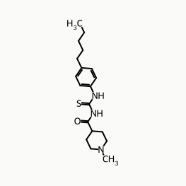 CCCCCc1ccc(NC(=S)NC(=O)C2CCN(C)CC2)cc1